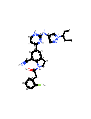 CCC(CC)n1cc(Nc2nccc(-c3cc(C#N)c4c(c3)CCN4C(=O)Cc3ccccc3F)n2)cn1